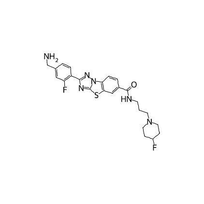 NCc1ccc(-c2nc3sc4cc(C(=O)NCCCN5CCC(F)CC5)ccc4n3n2)c(F)c1